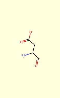 NC([C]=O)CC([O])=O